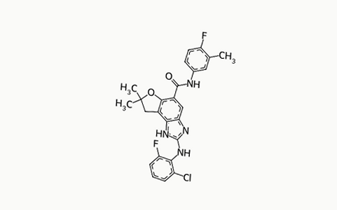 Cc1cc(NC(=O)c2cc3nc(Nc4c(F)cccc4Cl)[nH]c3c3c2OC(C)(C)C3)ccc1F